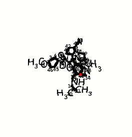 COc1ccc(S(=O)(=O)N2C(=O)C(c3cc(CNCC(C)C)ccc3OC)(N3CCC[C@H]3c3ncco3)c3cc(C#N)ccc32)cc1